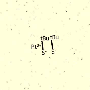 CC(C)(C)[S-].CC(C)(C)[S-].[Pt+2]